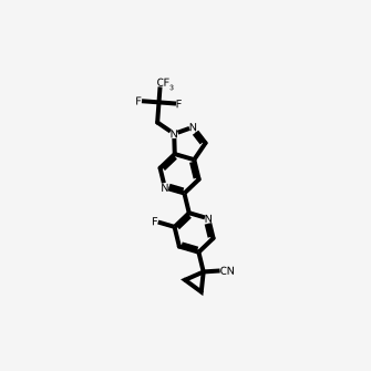 N#CC1(c2cnc(-c3cc4cnn(CC(F)(F)C(F)(F)F)c4cn3)c(F)c2)CC1